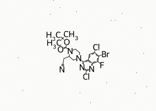 CC(C)(C)OC(=O)N1CCN(c2nc(Cl)nc3c(F)c(Br)c(Cl)cc23)CC1CC#N